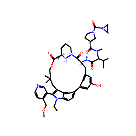 CCn1c(-c2cnccc2COC)c2c3cc(ccc31)-c1cc(O)cc(c1)C[C@H](NC(=O)C(C(C)C)N(C)C(=O)[C@H]1CCN(C(=O)N3CC3)C1)C(=O)N1CCC[C@H](N1)C(=O)OCC(C)(C)C2